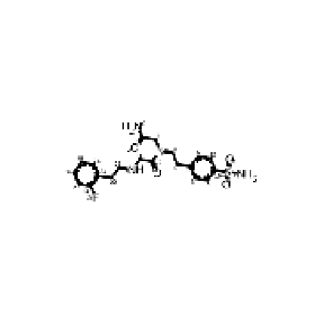 NC(=O)CN(CCc1ccc(S(N)(=O)=O)cc1)C(=O)CNCCc1ccccc1F